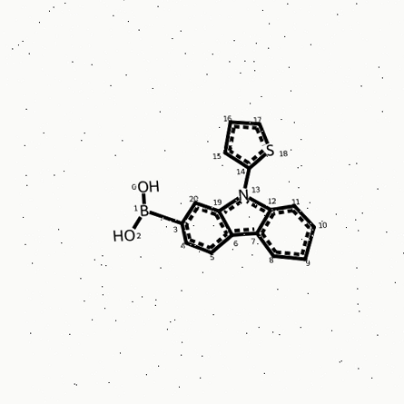 OB(O)c1ccc2c3ccccc3n(-c3cccs3)c2c1